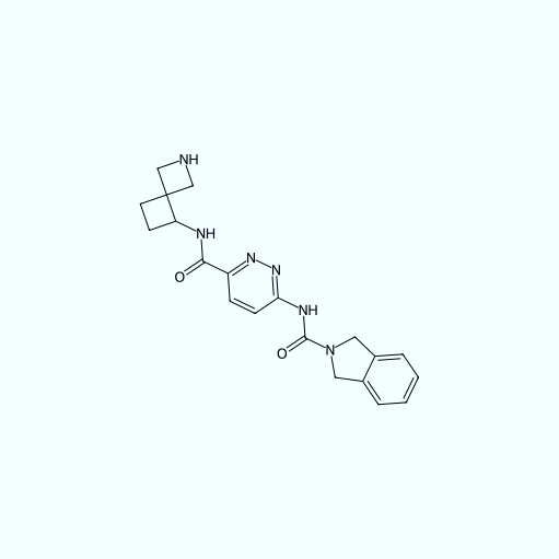 O=C(NC1CCC12CNC2)c1ccc(NC(=O)N2Cc3ccccc3C2)nn1